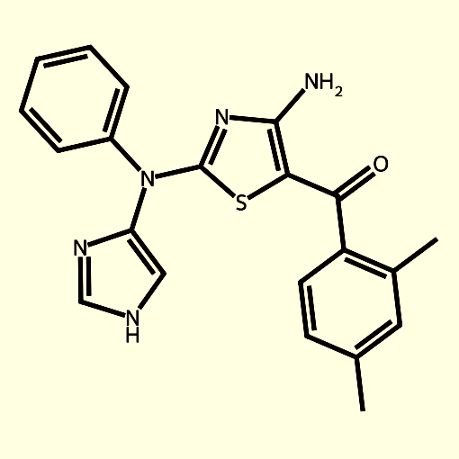 Cc1ccc(C(=O)c2sc(N(c3ccccc3)c3c[nH]cn3)nc2N)c(C)c1